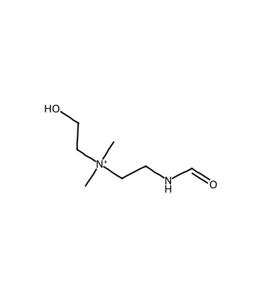 C[N+](C)(CCO)CCNC=O